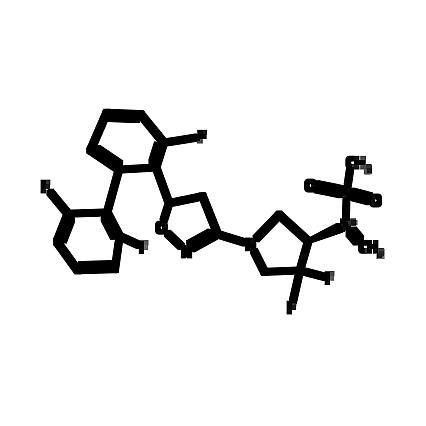 C=[N+]([C@@H]1CN(C2=NOC(c3c(F)cccc3-c3c(F)cccc3F)C2)CC1(F)F)S(C)(=O)=O